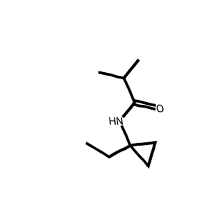 CCC1(NC(=O)C(C)C)CC1